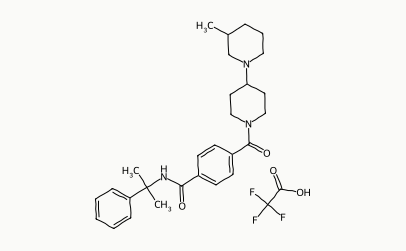 CC1CCCN(C2CCN(C(=O)c3ccc(C(=O)NC(C)(C)c4ccccc4)cc3)CC2)C1.O=C(O)C(F)(F)F